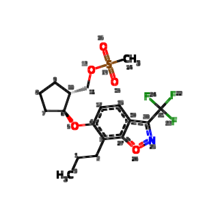 CCCc1c(O[C@H]2CCC[C@@H]2COS(C)(=O)=O)ccc2c(C(F)(F)F)noc12